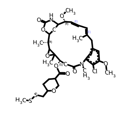 COc1cc2cc(c1Cl)N(C)C(=O)C[C@H](OC(=O)C1CCC(CSSC)OC1)C1(C)OC1[C@H](C)C1CC(NC(=O)O1)[C@H](OC)/C=C/C=C(\C)C2